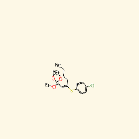 CCO[Si](C=C(CCCC#N)Sc1ccc(Cl)cc1)(OCC)OCC